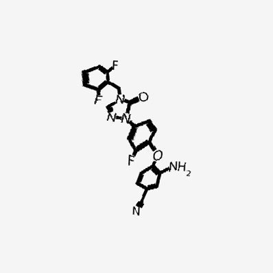 N#Cc1ccc(Oc2ccc(-n3ncn(Cc4c(F)cccc4F)c3=O)cc2F)c(N)c1